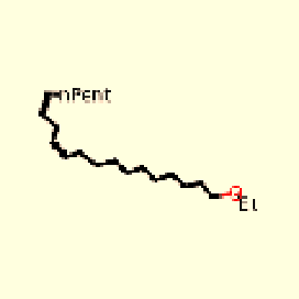 [CH2]COCCCCCCCCCC/C=C\C/C=C\CCCCC